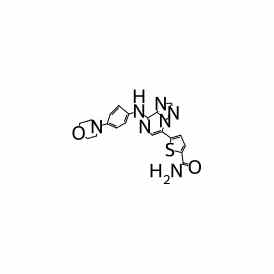 NC(=O)c1ccc(-c2cnc(Nc3ccc(N4CCOCC4)cc3)c3ncnn23)s1